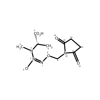 C[C@@H](C(=O)O)N(C)/[N+]([O-])=N\OCN1C(=O)CCC1=O